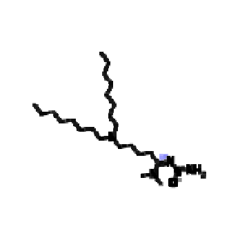 CCCCCCCCN(CCCCCCCC)CCCC/C(=N/[S+](N)[O-])N(C)C